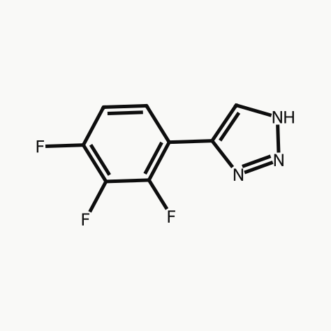 Fc1ccc(-c2c[nH]nn2)c(F)c1F